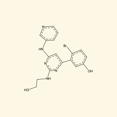 OCCNc1nc(Nc2cccnc2)cc(-c2cc(O)ccc2Br)n1